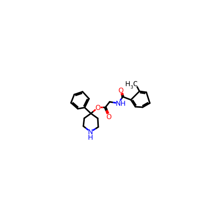 Cc1ccccc1C(=O)NCC(=O)OC1(c2ccccc2)CCNCC1